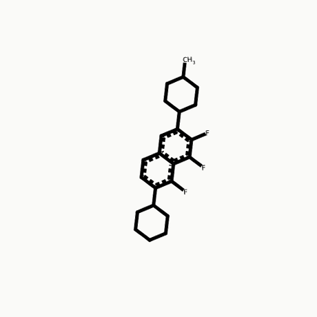 CC1CCC(c2cc3ccc(C4CCCCC4)c(F)c3c(F)c2F)CC1